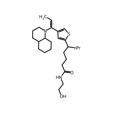 C/C=C(/c1csc(C(CCC)CCCC(=O)NCCO)c1)N1CCCC2CCCCC21